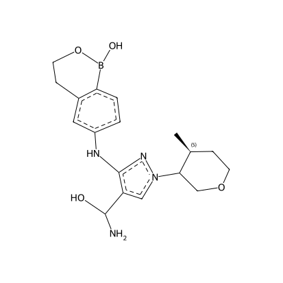 C[C@H]1CCOCC1n1cc(C(N)O)c(Nc2ccc3c(c2)CCOB3O)n1